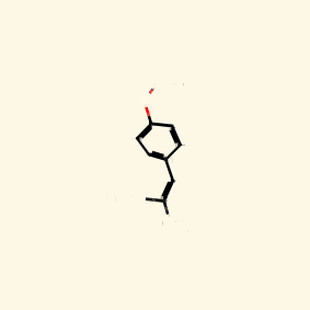 CCCCCCOc1ccc(C=C(C(=O)OCC)C(=O)OCC)cc1